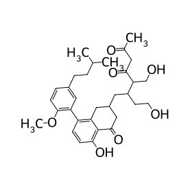 COc1ccc(CCC(C)C)cc1-c1ccc(O)c2c1CC(CC(CCO)C(CO)C(=O)CC(C)=O)CC2=O